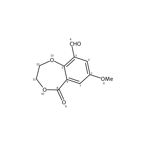 COc1cc(C=O)c2c(c1)C(=O)OCCO2